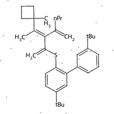 C=C(CCC)/C(C(=C)Sc1ccc(C(C)(C)C)cc1-c1cccc(C(C)(C)C)c1)=C(/C)C1(C)CCC1